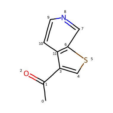 CC(=O)c1csc2cnccc12